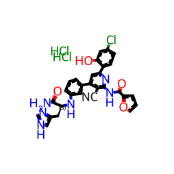 Cl.Cl.N#Cc1c(-c2cccc(N[C@@H](Cc3c[nH]cn3)C(N)=O)c2)cc(-c2ccc(Cl)cc2O)nc1NC(=O)c1ccco1